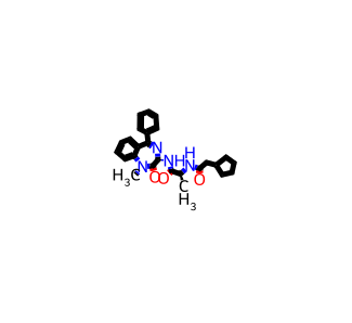 C[C@H](NC(=O)CC1CCCC1)C(=O)N[C@H]1N=C(c2ccccc2)c2ccccc2N(C)C1=O